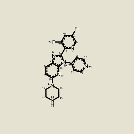 Fc1cnc(-c2nc3ccc(N4CCNCC4)nc3n2-c2ccncc2)c(F)c1